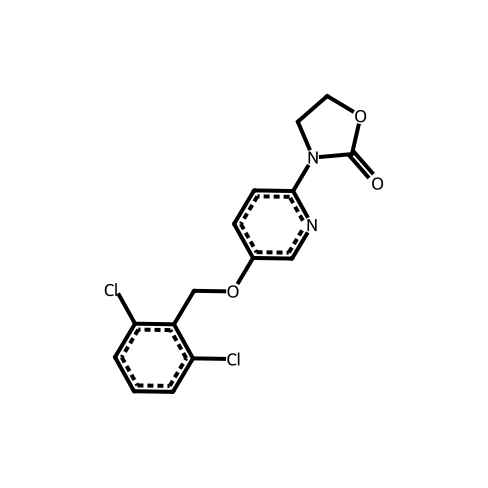 O=C1OCCN1c1ccc(OCc2c(Cl)cccc2Cl)cn1